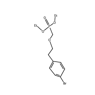 CCOP(=O)(COCCc1ccc(Br)cc1)OCC